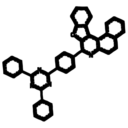 c1ccc(-c2nc(-c3ccccc3)nc(-c3ccc(-c4nc5ccc6ccccc6c5c5c4oc4ccccc45)cc3)n2)cc1